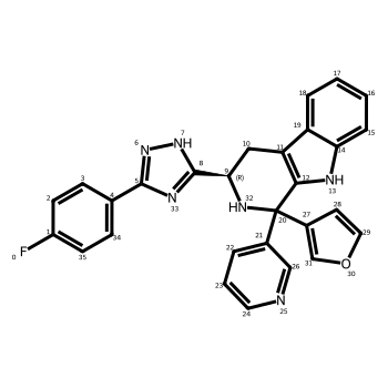 Fc1ccc(-c2n[nH]c([C@H]3Cc4c([nH]c5ccccc45)C(c4cccnc4)(c4ccoc4)N3)n2)cc1